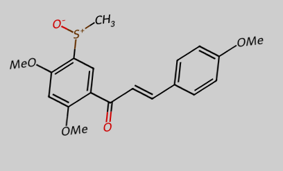 COc1ccc(/C=C/C(=O)c2cc([S+](C)[O-])c(OC)cc2OC)cc1